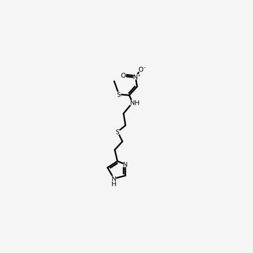 CSC(=C[N+](=O)[O-])NCCSCCc1c[nH]cn1